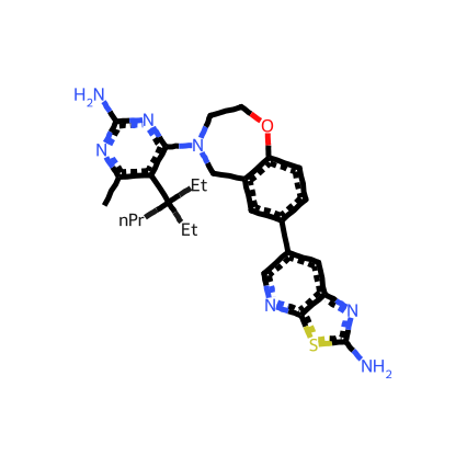 CCCC(CC)(CC)c1c(C)nc(N)nc1N1CCOc2ccc(-c3cnc4sc(N)nc4c3)cc2C1